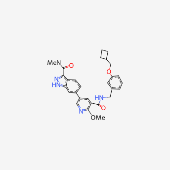 CNC(=O)c1n[nH]c2cc(-c3cnc(OC)c(C(=O)NCc4cccc(OCC5CCC5)c4)c3)ccc12